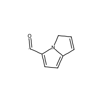 O=[C]c1ccc2n1CC=C2